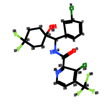 O=C(NC(c1cccc(Cl)c1)C1(O)CCC(F)(F)CC1)c1nccc(C(F)(F)F)c1Cl